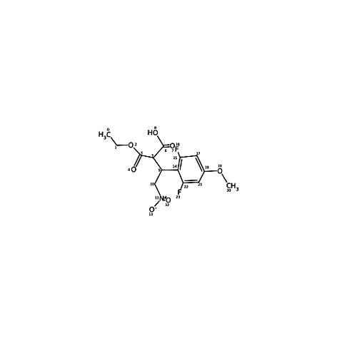 CCOC(=O)C(C(=O)O)C(C[N+](=O)[O-])c1c(F)cc(OC)cc1F